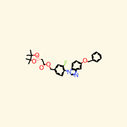 CC1(C)OB(CC(=O)OCc2ccc(-n3cnc4cc(OCc5ccccc5)ccc43)c(F)c2)OC1(C)C